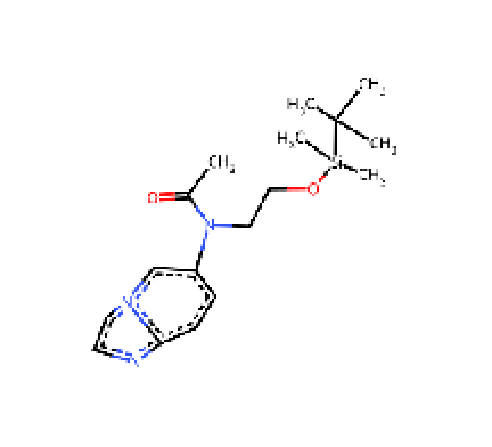 CC(=O)N(CCO[Si](C)(C)C(C)(C)C)c1ccc2nccn2c1